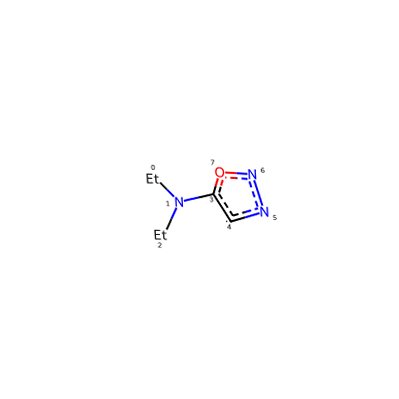 CCN(CC)c1[c]nno1